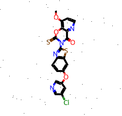 COc1ccnc2c(=O)n(-c3nc4ccc(Oc5cncc(Cl)c5)cc4s3)c(=S)oc12